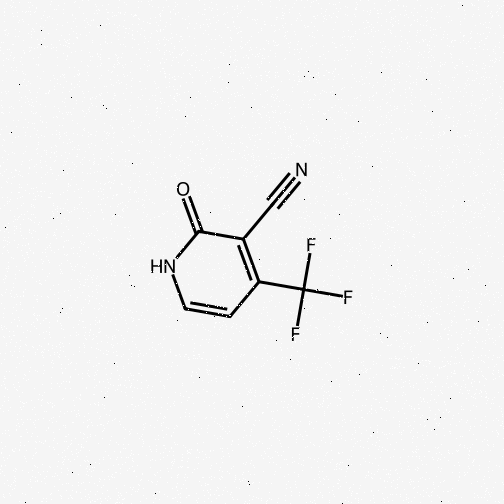 N#Cc1c(C(F)(F)F)cc[nH]c1=O